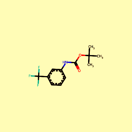 CC(C)(C)OC(=O)Nc1c[c]cc(C(F)(F)F)c1